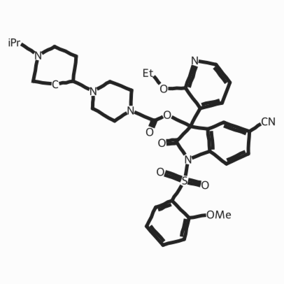 CCOc1ncccc1C1(OC(=O)N2CCN(C3CCN(C(C)C)CC3)CC2)C(=O)N(S(=O)(=O)c2ccccc2OC)c2ccc(C#N)cc21